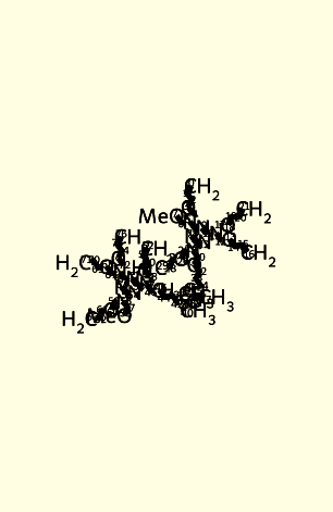 C=CCOCN(COC)c1nc(N(COCC=C)COCC=C)nc(N(COCC=C)COCCC[Si](C)(C)O[Si](C)(C)CCCOCN(COCC=C)c2nc(N(COC)COCC=C)nc(N(COCC=C)COCC=C)n2)n1